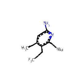 Cc1cc(N)nc(C(C)(C)C)c1CC(F)(F)F